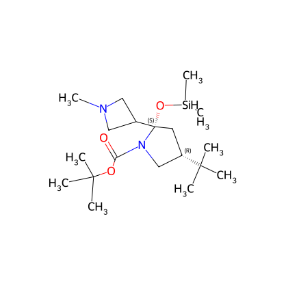 CN1CC([C@@]2(O[SiH](C)C)C[C@H](C(C)(C)C)CN2C(=O)OC(C)(C)C)C1